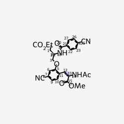 CCOC(=O)C[C@H](COc1cc(C#N)ccc1/C=C(/NC(C)=O)C(=O)OC)NC(=O)c1ccc(C#N)cc1